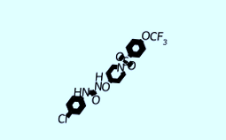 O=C(NOC1CCN(S(=O)(=O)c2ccc(OC(F)(F)F)cc2)CC1)Nc1ccc(Cl)cc1